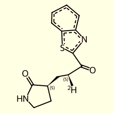 [2H][C@@H](C[C@H]1CCNC1=O)C(=O)c1nc2ccccc2s1